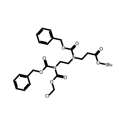 CC(C)(C)OC(=O)CCN(CCN(C(=O)OCCl)C(=O)OCc1ccccc1)C(=O)OCc1ccccc1